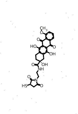 COc1cccc2c1C(=O)c1c(O)c3c(c(O)c1C2=O)C[C@@](O)(C(=O)NCCN1C(=O)CC(S)C1=O)CC3